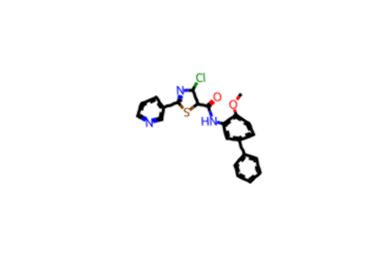 COc1ccc(-c2ccccc2)cc1NC(=O)C1SC(c2cccnc2)=NC1Cl